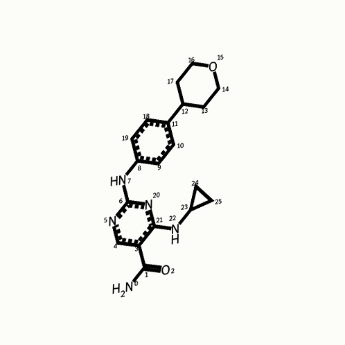 NC(=O)c1cnc(Nc2ccc(C3CCOCC3)cc2)nc1NC1CC1